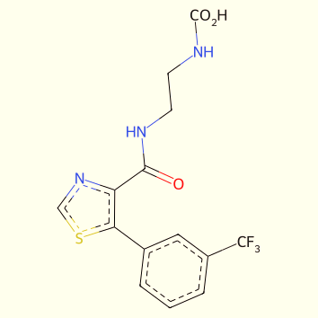 O=C(O)NCCNC(=O)c1ncsc1-c1cccc(C(F)(F)F)c1